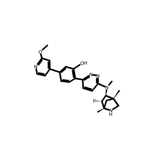 COc1cc(-c2ccc(-c3ccc(N(C)[C@@H]4[C@@H](F)[C@]5(C)C[C@@]4(C)CN5)nn3)c(O)c2)ccn1